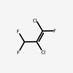 F/C(Cl)=C(\Cl)C(F)F